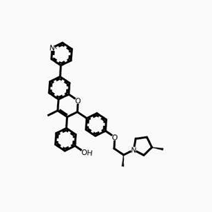 CC1=C(c2cccc(O)c2)C(c2ccc(OC[C@H](C)N3CC[C@@H](C)C3)cc2)Oc2cc(-c3cccnc3)ccc21